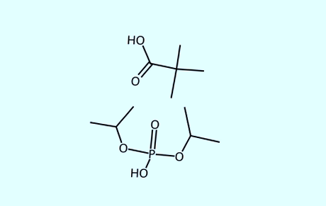 CC(C)(C)C(=O)O.CC(C)OP(=O)(O)OC(C)C